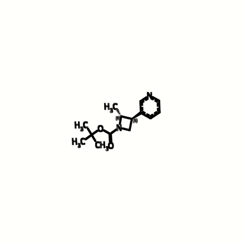 C[C@@H]1[C@@H](c2cccnc2)CN1C(=O)OC(C)(C)C